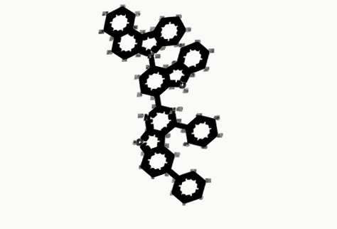 c1ccc(-c2ccc3oc4nc(-c5ccc(-n6c7ccccc7c7c8ccccc8ccc76)c6c5oc5ccccc56)nc(-c5ccccc5)c4c3c2)cc1